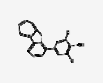 Oc1c(Cl)cc(-c2cccc3c2Cc2ccccc2-3)cc1Cl